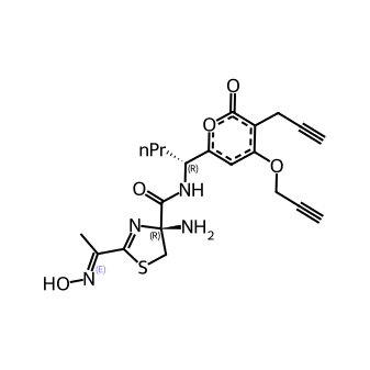 C#CCOc1cc([C@@H](CCC)NC(=O)[C@]2(N)CSC(/C(C)=N/O)=N2)oc(=O)c1CC#C